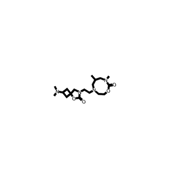 CC1CN(CCN2CC3(CC(N(C)C)C3)OC2=O)CCOC(=O)N(C)C1